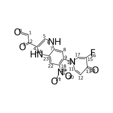 O=CC(=O)C1=CNc2cc(-n3ccc(=O)c(F)c3)c([N+](=O)[O-])cc2N1